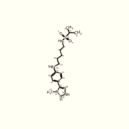 CC(C)S(=O)(=O)NCCCCCNc1ccc(C2=NNNN2C)cc1